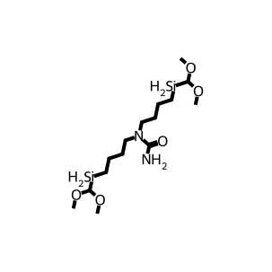 COC(OC)[SiH2]CCCCN(CCCC[SiH2]C(OC)OC)C(N)=O